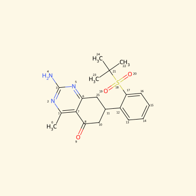 Cc1nc(N)nc2c1C(=O)CC(c1ccccc1S(=O)(=O)C(C)(C)C)C2